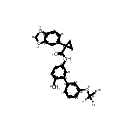 Cc1ccc(NC(=O)C2(c3ccc4c(c3)OCO4)CC2)cc1-c1cccc(OC(F)(F)F)c1